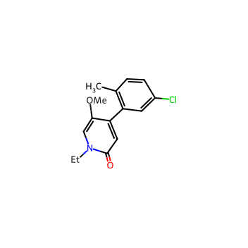 CCn1cc(OC)c(-c2cc(Cl)ccc2C)cc1=O